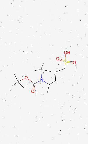 CC(CCCS(=O)(=O)O)N(C(=O)OC(C)(C)C)C(C)(C)C